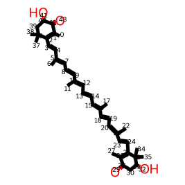 CC1=C(/C=C/C(C)=C/C=C/C(C)=C/C=C/C=C(C)/C=C/C=C(C)/C=C/C2=C(C)C(=O)CC(O)C2(C)C)C(C)(C)CC(O)C1=O